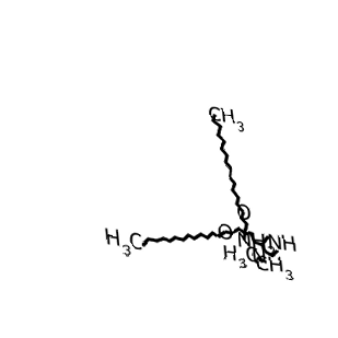 CCCCCCCCCCCCCCOCCC(N)(CCOCCCCCCCCCCCCCC)CCC1CNCCC1N(C)C